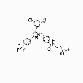 O=C(O)CCNC(=O)c1ccc(Cn2nc(-c3ccc(C(F)(F)F)cc3)cc2-c2cc(Cl)cc(Cl)c2)cc1